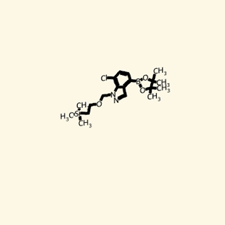 CC1(C)OB(c2ccc(Cl)c3c2cnn3COCC[Si](C)(C)C)OC1(C)C